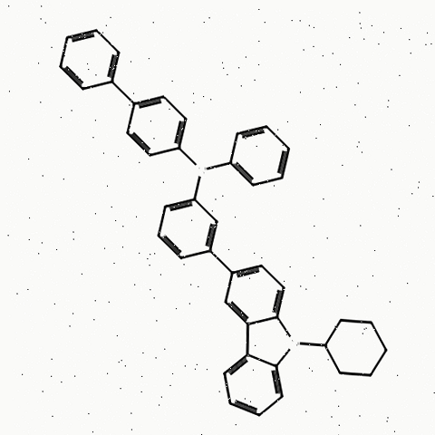 c1ccc(-c2ccc(N(c3ccccc3)c3cccc(-c4ccc5c(c4)c4ccccc4n5C4CCCCC4)c3)cc2)cc1